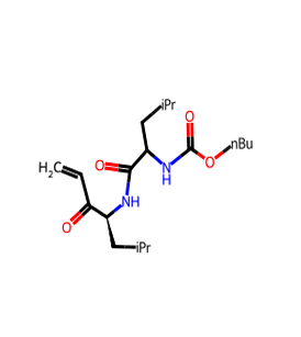 C=CC(=O)[C@H](CC(C)C)NC(=O)C(CC(C)C)NC(=O)OCCCC